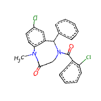 CN1C(=O)CN(C(=O)c2ccccc2Cl)C(c2ccccc2)c2cc(Cl)ccc21